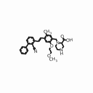 COCCOc1cc(C=Cc2cccc(-c3ccccc3)c2C#N)c(C)cc1CN1CCNCC1C(=O)O